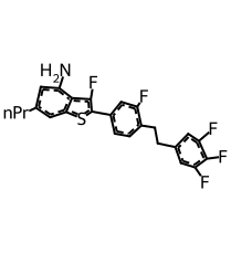 CCCc1cc(N)c2c(F)c(-c3ccc(CCc4cc(F)c(F)c(F)c4)c(F)c3)sc2c1